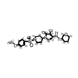 CCCCOc1ccc(S(=O)(=O)N2CCC(n3ncc(NC[C@H]4CCCOC4)c(Cl)c3=O)CC2)cc1